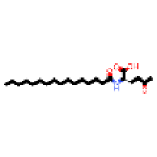 CCCCCCCCCCCCCCCC(=O)N[C@@H](CCC(C)=O)C(=O)O